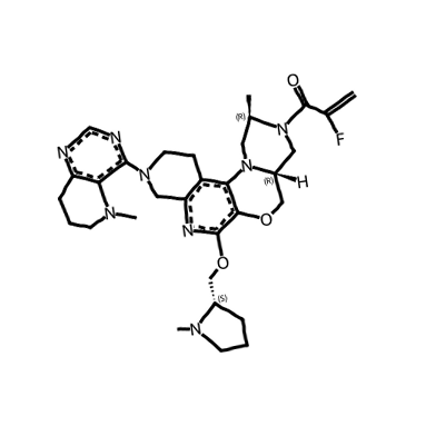 C=C(F)C(=O)N1C[C@@H]2COc3c(OC[C@@H]4CCCN4C)nc4c(c3N2C[C@H]1C)CCN(c1ncnc2c1N(C)CCC2)C4